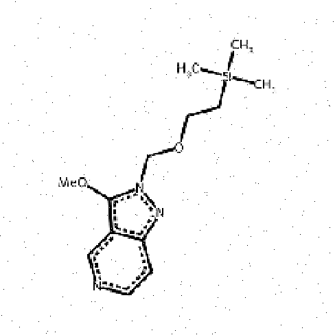 COc1c2cnccc2nn1COCC[Si](C)(C)C